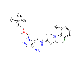 Cc1cccc(F)c1N1CCC(NCc2c(N)cnn2COCC[Si](C)(C)C)CC1